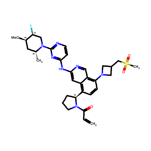 C=CC(=O)N1CCC[C@H]1c1ccc(N2CC(CS(C)(=O)=O)C2)c2cnc(Nc3ccnc(N4C[C@H](F)[C@H](OC)C[C@H]4C)n3)cc12